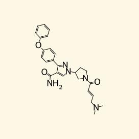 CN(C)CC=CC(=O)N1CCC(n2cc(C(N)=O)c(-c3ccc(Oc4ccccc4)cc3)n2)C1